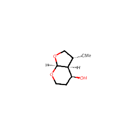 CO[C@H]1CO[C@@H]2OCC[C@H](O)[C@@H]21